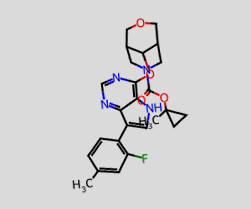 Cc1ccc(-c2c[nH]c3c(OC4C5COCC4CN(C(=O)OC4(C)CC4)C5)ncnc23)c(F)c1